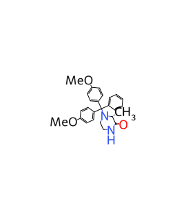 COc1ccc(C(c2ccccc2)(c2ccc(OC)cc2)N2CCNC(=O)[C@H]2C)cc1